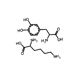 NC(Cc1ccc(O)c(O)c1)C(=O)O.NCCCCC(N)C(=O)O